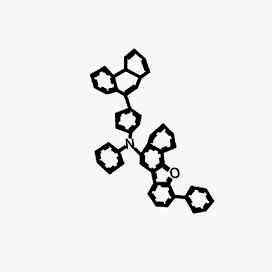 C1=CC2C=C(c3ccc(N(c4ccccc4)c4cc5c6cccc(-c7ccccc7)c6oc5c5ccccc45)cc3)c3ccccc3C2C=C1